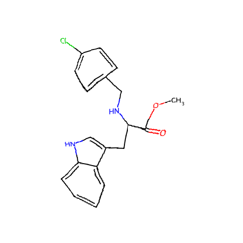 COC(=O)C(Cc1c[nH]c2ccccc12)NCc1ccc(Cl)cc1